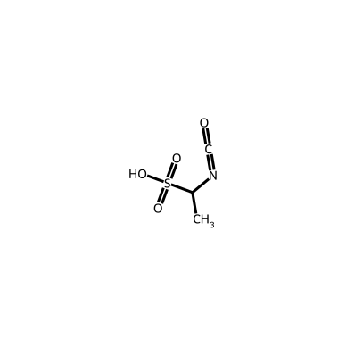 CC(N=C=O)S(=O)(=O)O